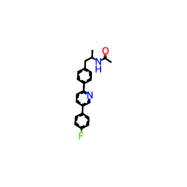 CC(=O)NC(C)Cc1ccc(-c2ccc(-c3ccc(F)cc3)cn2)cc1